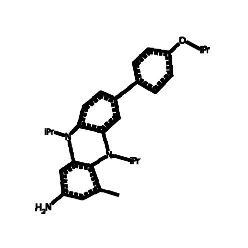 Cc1cc(N)cc2c1N(C(C)C)c1cc(-c3ccc(OC(C)C)cc3)ccc1N2C(C)C